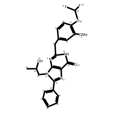 COc1cc(Cc2nc3c(nc(-c4ccccc4)n3CC(C)O)c(=O)[nH]2)ccc1OC(F)F